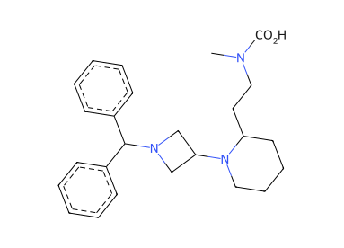 CN(CCC1CCCCN1C1CN(C(c2ccccc2)c2ccccc2)C1)C(=O)O